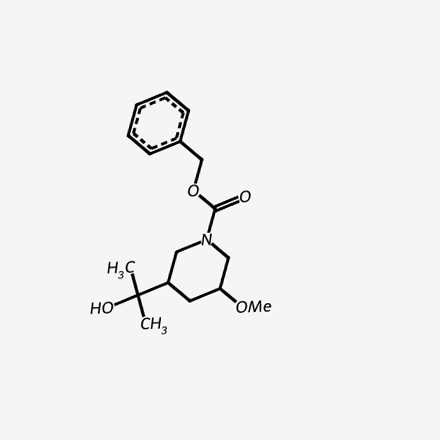 COC1CC(C(C)(C)O)CN(C(=O)OCc2ccccc2)C1